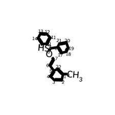 Cc1cccc(C=CO[SiH](c2ccccc2)c2ccccc2)c1